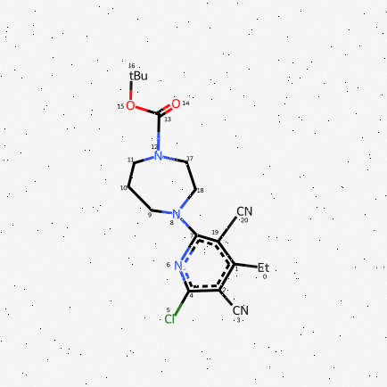 CCc1c(C#N)c(Cl)nc(N2CCCN(C(=O)OC(C)(C)C)CC2)c1C#N